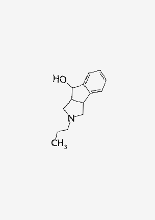 CCCN1CC2c3ccccc3C(O)C2C1